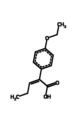 CCC=C(C(=O)O)c1ccc(OCC)cc1